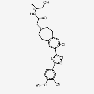 CC(C)Oc1ccc(-c2nc(-c3ccc4c(c3)CCN(CC(=O)N[C@@H](C)CO)CC4)no2)cc1C#N.Cl